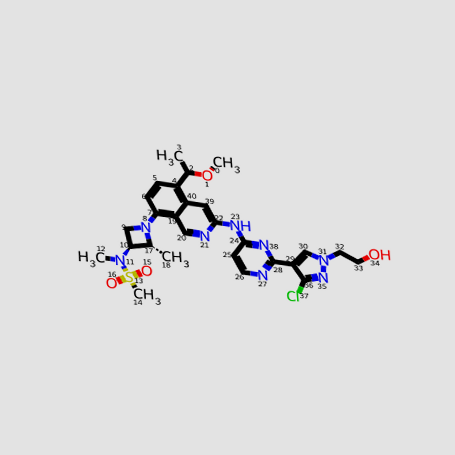 COC(C)c1ccc(N2C[C@H](N(C)S(C)(=O)=O)[C@H]2C)c2cnc(Nc3ccnc(-c4cn(CCO)nc4Cl)n3)cc12